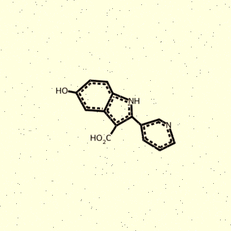 O=C(O)c1c(-c2cccnc2)[nH]c2ccc(O)cc12